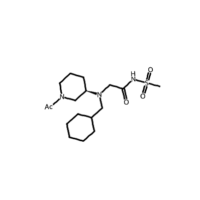 CC(=O)N1CCC[C@@H](N(CC(=O)NS(C)(=O)=O)CC2CCCCC2)C1